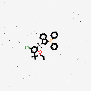 C=CCOc1c(C(C)(C)C)cc(Cl)cc1[Si](C)(C)C1C=C(P(c2ccccc2)c2ccccc2)c2ccccc21